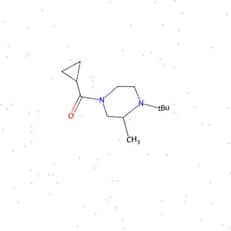 CC1CN(C(=O)C2CC2)CCN1C(C)(C)C